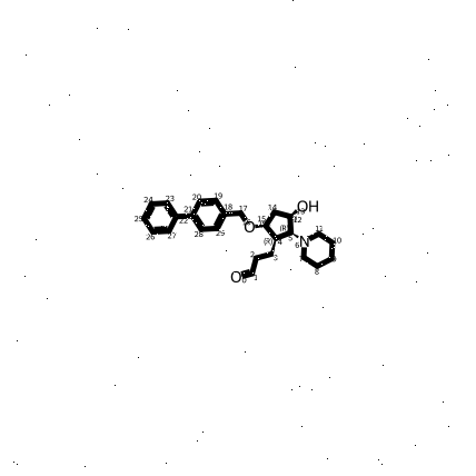 O=CCC[C@@H]1[C@@H](N2CCCCC2)[C@H](O)C[C@@H]1OCc1ccc(-c2ccccc2)cc1